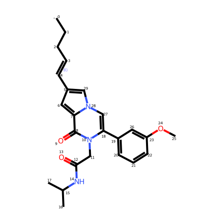 [CH2]CC/C=C/c1cc2c(=O)n(CC(=O)NC(C)C)c(-c3cccc(OC)c3)cn2c1